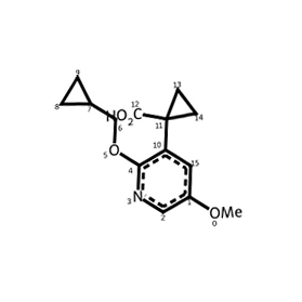 COc1cnc(OCC2CC2)c(C2(C(=O)O)CC2)c1